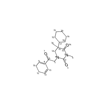 CN1C(=O)N(CC(=O)C2=CCCC=C2)CC(C)(C2CCCCC2)C1=O